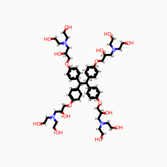 OCCN(CCO)CC(O)COC1=CC=C(C(c2ccc(OCC(O)CN(CCO)CCO)cc2)C(c2ccc(OCC(O)CN(CCO)CCO)cc2)c2ccc(OCC(O)CN(CCO)CCO)cc2)CC1